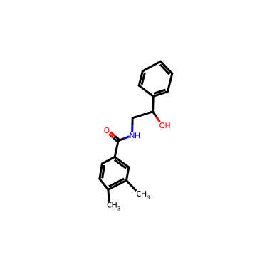 Cc1ccc(C(=O)NCC(O)c2ccccc2)cc1C